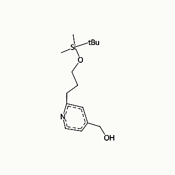 CC(C)(C)[Si](C)(C)OCCCc1cc(CO)ccn1